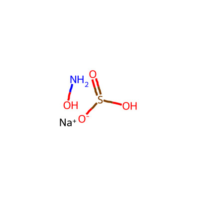 NO.O=S([O-])O.[Na+]